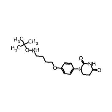 CC(C)(C)ONCCCCOc1ccc(N2CCC(=O)NC2=O)cc1